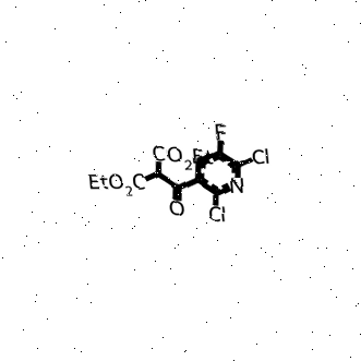 CCOC(=O)C(C(=O)OCC)C(=O)c1cc(F)c(Cl)nc1Cl